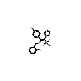 CC(C)(C)S(=O)(=O)C(=C(OCc1ccccc1Cl)c1ccc(Cl)cc1)n1cncn1